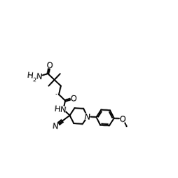 COc1ccc(N2CCC(C#N)(NC(=O)[CH]CC(C)(C)C(N)=O)CC2)cc1